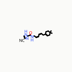 CC1(C)CC=C(C/C=C\C=C/CNC(=O)c2nc(C#N)c[nH]2)CC1